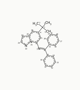 CC(C)(C)c1cc(N=C(c2ccccc2)c2ccccc2)n2nccc2c1